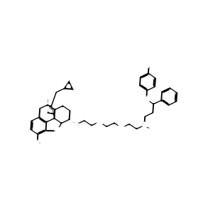 CN(CCOCCOCCN[C@@H]1CC[C@@]2(O)[C@H]3Cc4ccc(O)c5c4[C@@]2(CCN3CC2CC2)C1O5)CCC(Oc1ccc(C(F)(F)F)cc1)c1ccccc1